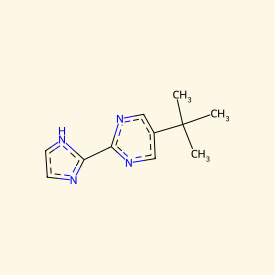 CC(C)(C)c1cnc(-c2ncc[nH]2)nc1